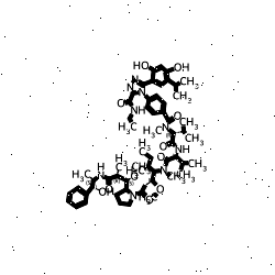 CCNC(=O)c1nnc(-c2cc(C(C)C)c(O)cc2O)n1-c1ccc(C(=O)N(C)[C@@H](C(=O)N[C@H](C(=O)N(C)C([C@@H](C)CC)[C@@H](CC(=O)N2CCCC2[C@@H](OC)[C@@H](C)C(=O)N[C@@H](C)[C@H](O)c2ccccc2)OC)C(C)C)C(C)C)cc1